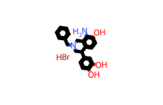 Br.Nc1c(O)ccc2c1CN(Cc1ccccc1)CC2c1ccc(O)c(O)c1